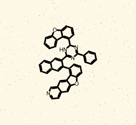 c1ccc(C2=NC(c3cccc4oc5ccccc5c34)NC(c3cc4ccccc4cc3-c3cccc4oc5cc6ccncc6cc5c34)=N2)cc1